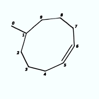 CC1CCC/C=C\CCC1